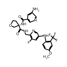 COc1ccc(Nc2cnc(CNC(=O)[C@]3(NC(=O)c4cncc(N)c4)CCOC3)c(F)c2)c(C(F)(F)F)c1